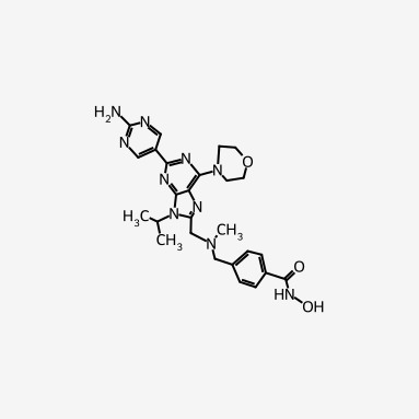 CC(C)n1c(CN(C)Cc2ccc(C(=O)NO)cc2)nc2c(N3CCOCC3)nc(-c3cnc(N)nc3)nc21